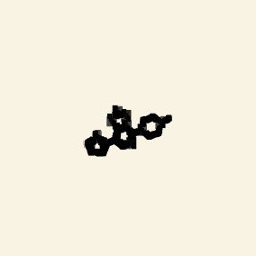 CN1CCN(c2ncc(-c3cccs3)c3nnnn23)CC1